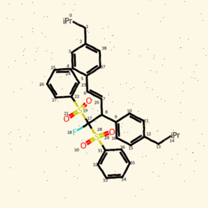 CC(C)Cc1ccc(/C=C/C(c2ccc(CC(C)C)cc2)C(F)(S(=O)(=O)c2ccccc2)S(=O)(=O)c2ccccc2)cc1